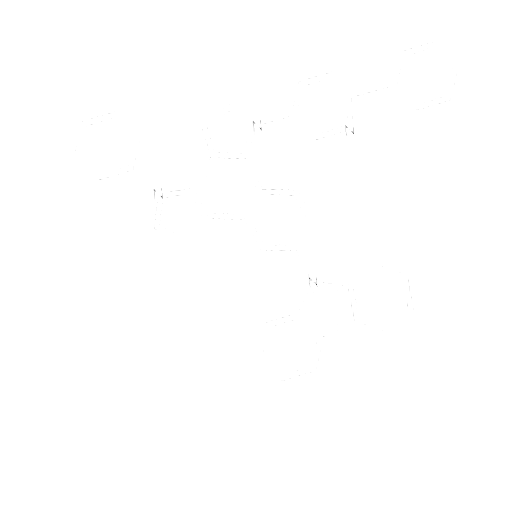 c1ccc(-c2ccc(-n3ccc4c5c(ccn5-c5ccccc5)c5cc(-n6c7ccccc7c7ccccc76)ccc5c43)cn2)cc1